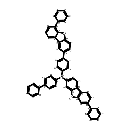 c1ccc(-c2ccc(N(c3ccc(-c4ccc5oc6c(-c7ccccc7)cccc6c5c4)cc3)c3ccc4c(c3)sc3cc(-c5ccccc5)ccc34)cc2)cc1